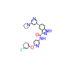 O=C(Nc1ccc(OC2=CCCC(F)=C2)nc1)c1n[nH]c2ccc(-c3cncc(N4CCCC4)c3)cc12